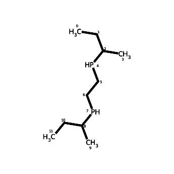 CCC(C)PCCPC(C)CC